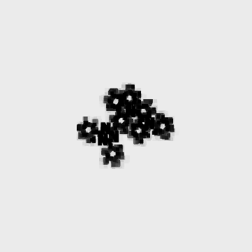 c1ccc(-c2nc(-c3ccccc3)nc(-c3ccc(-n4c5ccccc5c5ccc6c(c7ccccc7n6-c6ccccc6)c54)c(-c4ccccc4)c3)n2)cc1